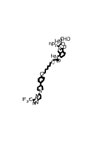 CCCC(C(=O)NC=O)N1Cc2c(NC(=O)COCCCCCCOc3ccc(C4CCN(C5=Nn6c(nnc6C(F)(F)F)CC5)CC4)cc3)cccc2C1=O